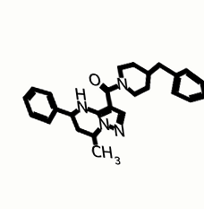 CC1CC(c2ccccc2)Nc2c(C(=O)N3CCC(Cc4ccccc4)CC3)cnn21